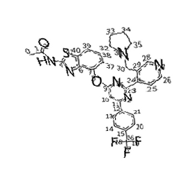 CC(=O)Nc1nc2c(Oc3cc(-c4ccc(C(F)(F)F)cc4)nc(-c4ccncc4CN4CCCC4)n3)cccc2s1